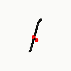 C#CCCCCCCCCOC(=O)CCCCCCC